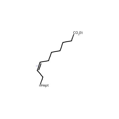 CCCCCCCC/C=C\CCCCCC(=O)OCC